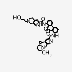 C[C@@H]1CCCCN1Cc1cnc(C(=O)Nc2cccc(-c3cccc(NC(=O)c4cc5c(cn4)CN(CCCO)CC5)c3Cl)c2Cl)cc1C1CC1